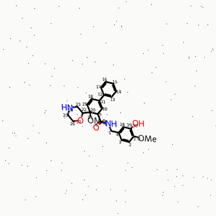 COc1ccc(CNC(=O)C2C=C(c3ccccc3)C=CC2(OC)C2CNCCO2)cc1O